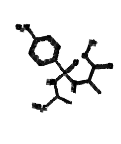 CC(C)OC(=O)C(C)NP(=O)(NC(C)C(=O)O)c1ccc([N+](=O)[O-])cc1